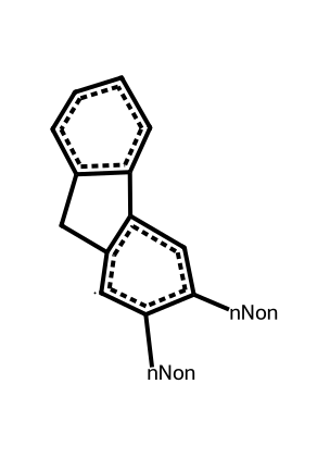 CCCCCCCCCc1[c]c2c(cc1CCCCCCCCC)-c1ccccc1C2